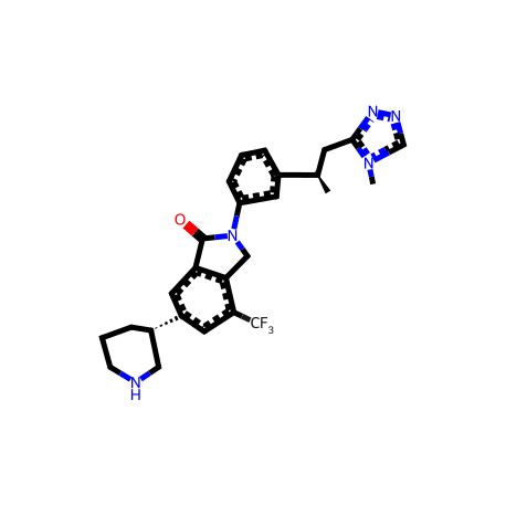 C[C@H](Cc1nncn1C)c1cccc(N2Cc3c(cc([C@H]4CCCNC4)cc3C(F)(F)F)C2=O)c1